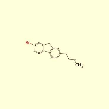 C[CH]CCc1ccc2c(c1)Cc1cc(Br)ccc1-2